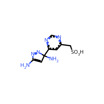 NC1=CC(N)(c2cc(CS(=O)(=O)O)ncn2)N=N1